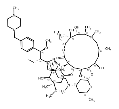 CC[C@H]1OC(=O)[C@H](C)[C@@H](O[C@H]2C[C@@](C)(OC)[C@@H](O)[C@H](C)O2)[C@H](C)[C@@H](O[C@H]2C[C@@H](N(C)CCc3cn([C@H](CF)[C@H](OC)c4ccc(CN5CCN(C)CC5)cc4)nn3)C[C@@H](C)O2)[C@H](O)C[C@@H](C)CN(C)[C@H](C)[C@@H](O)[C@]1(C)O